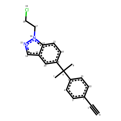 C#Cc1ccc(C(C)(C)c2ccc3c(cnn3CCCl)c2)cc1